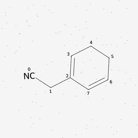 N#CCC1=CCCC=C1